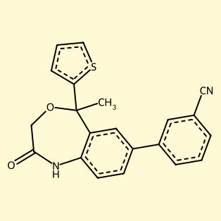 CC1(c2cccs2)OCC(=O)Nc2ccc(-c3cccc(C#N)c3)cc21